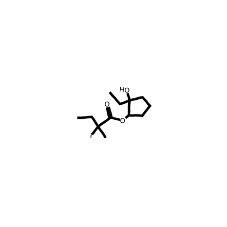 CCC(C)(I)C(=O)OC1CCCC1(O)CC